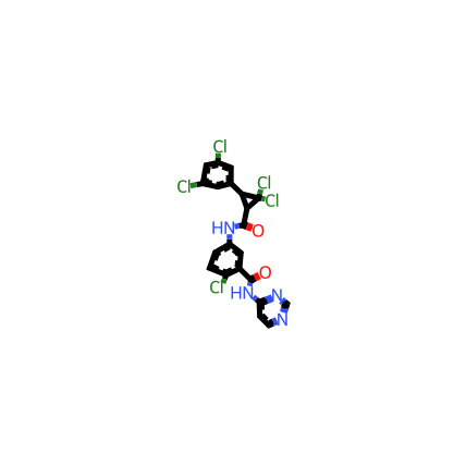 O=C(Nc1ccncn1)c1cc(NC(=O)C2C(c3cc(Cl)cc(Cl)c3)C2(Cl)Cl)ccc1Cl